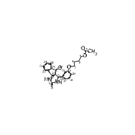 CC(=O)OCCCCOc1cccc(C2NC(=S)NC3=C2C(=O)c2ccccc23)c1